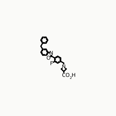 O=C(O)C1CN(Cc2ccc(-c3nc4cc(Cc5ccccc5)ccc4o3)c(F)c2)C1